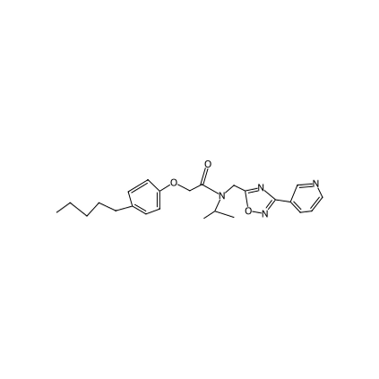 CCCCCc1ccc(OCC(=O)N(Cc2nc(-c3cccnc3)no2)C(C)C)cc1